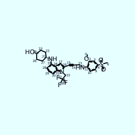 COc1cc(S(C)(=O)=O)ccc1NCC#Cc1cc2c(N[C@H]3CC[C@@H](O)CC3)cccc2n1CC(F)(F)F